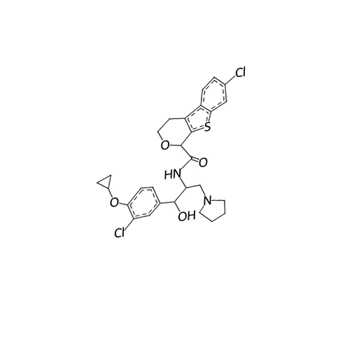 O=C(NC(CN1CCCC1)C(O)c1ccc(OC2CC2)c(Cl)c1)C1OCCc2c1sc1cc(Cl)ccc21